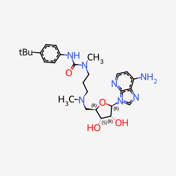 CN(CCCN(C)C(=O)Nc1ccc(C(C)(C)C)cc1)C[C@H]1O[C@@H](n2cnc3c(N)ccnc32)[C@H](O)[C@@H]1O